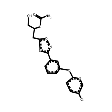 NC(=O)OC(CO)Cc1nc(-c2cccc(Oc3ccc(Cl)cn3)c2)no1